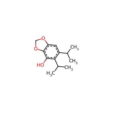 CC(C)c1cc2c(c(O)c1C(C)C)OCO2